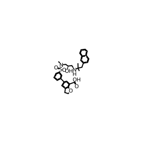 CN(C[C@H](O)CNC(C)(C)Cc1ccc2ccccc2c1)S(=O)(=O)c1cccc(-c2cc3c(c(C(=O)O)c2)OCC3)c1